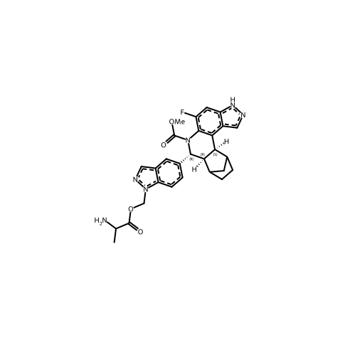 COC(=O)N1c2c(F)cc3[nH]ncc3c2[C@H]2C3CCC(C3)[C@H]2[C@@H]1c1ccc2c(cnn2COC(=O)C(C)N)c1